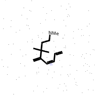 C=C/C=C\C(=C)C(C)(C)CCNC